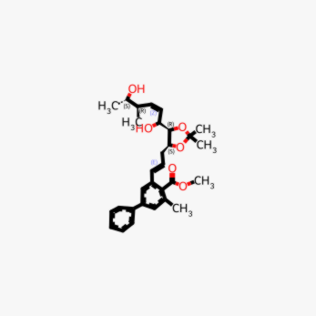 COC(=O)c1c(C)cc(-c2ccccc2)cc1/C=C/C[C@@H]1OC(C)(C)O[C@@H]1C(O)/C=C\[C@@H](C)[C@H](C)O